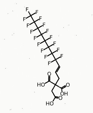 O=C(O)CC(CC=CC(F)(F)C(F)(F)C(F)(F)C(F)(F)C(F)(F)C(F)(F)C(F)(F)C(F)(F)F)(C(=O)O)C(=O)O